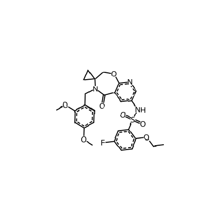 CCOc1ccc(F)cc1S(=O)(=O)Nc1cnc2c(c1)C(=O)N(Cc1ccc(OC)cc1OC)C1(CC1)CO2